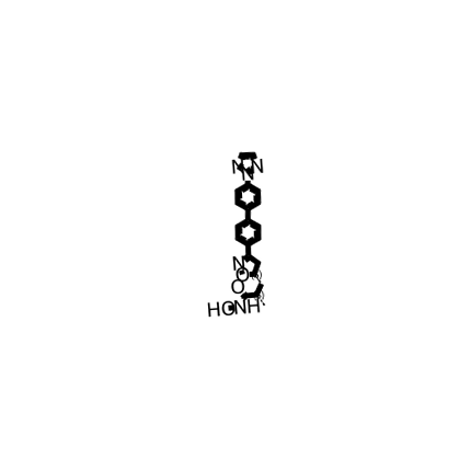 C[C@@H](C[C@H]1CC(c2ccc(-c3ccc(-n4nccn4)cc3)cc2)=NO1)C(=O)NO